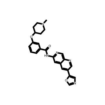 CN1CCC(Oc2cccc(C(=O)Nc3cc4cc(-c5cnco5)cnc4cn3)c2)CC1